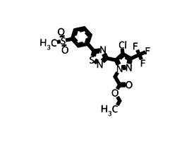 CCOC(=O)Cn1nc(C(F)(F)F)c(Cl)c1-c1nsc(-c2cccc(S(C)(=O)=O)c2)n1